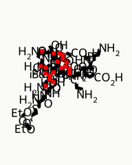 CCC(=O)OC[C@@H](CSC[C@@H](N)C(=O)NNCC(=O)NC(CC(N)=O)C(=O)N[C@@H](CC(N)=O)C(=O)NC(CC(=O)O)C(=O)N[C@@H](CCC(=O)O)C(=O)NC(CO)C(=O)N[C@@H](CC(N)=O)C(=O)N[C@H](C(=O)N[C@@H](CO)C(=O)NC(Cc1ccccc1)C(=O)N[C@@H](CCCCN)C(=O)NC(CCC(=O)O)C(=O)C(=O)[C@H](CCCCN)NC(C)C)[C@@H](C)CC)OC(=O)CC